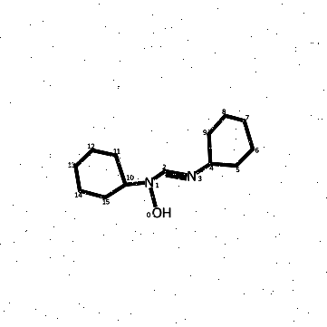 ON(C=NC1CCCCC1)C1CCCCC1